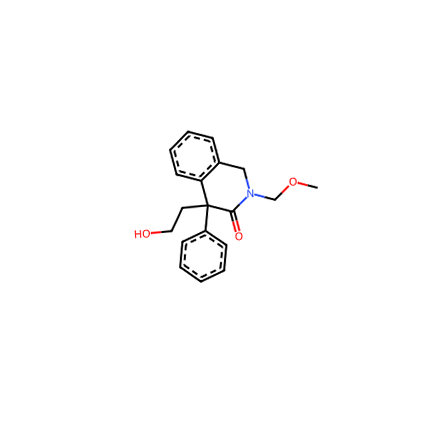 COCN1Cc2ccccc2C(CCO)(c2ccccc2)C1=O